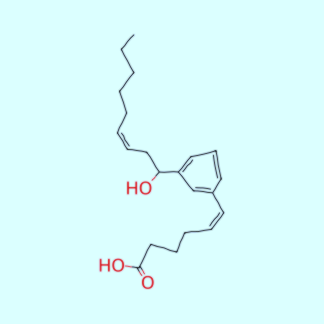 CCCCC/C=C\CC(O)c1cccc(/C=C\CCCC(=O)O)c1